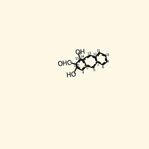 O=Cc1c(O)cc2cc3ccccc3cc2c1O